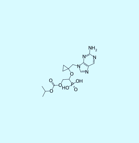 CC(C)OC(=O)OCC(OC1(Cn2cnc3cnc(N)nc32)CC1)P(=O)(O)O